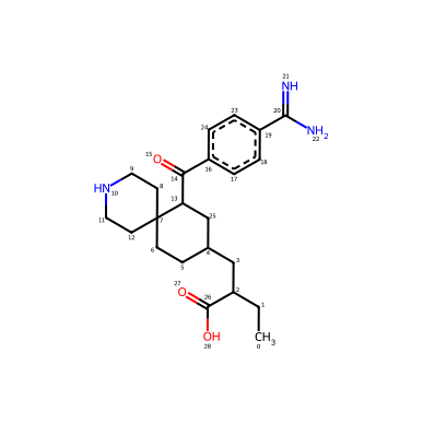 CCC(CC1CCC2(CCNCC2)C(C(=O)c2ccc(C(=N)N)cc2)C1)C(=O)O